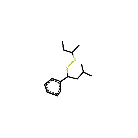 CCC(C)SSC(CC(C)C)c1ccccc1